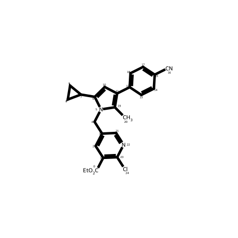 CCOC(=O)c1cc(Cn2c(C3CC3)cc(-c3ccc(C#N)cc3)c2C)cnc1Cl